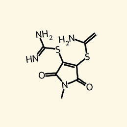 C=C(N)SC1=C(SC(=N)N)C(=O)N(C)C1=O